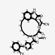 CC(C)C[C@H]1C(=O)N2C[C@]3(C[C@H]2C#N)C(=O)Nc2ccc(cc23)CCCCCN1C(=O)c1cnn(-c2ccccc2C(F)(F)F)c1